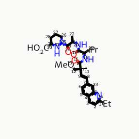 CCc1ccc2ccc(/C=C/[C@](C)(COC)C(=O)NC(C(=O)NC(C)C(=O)N3CCCC(C(=O)O)N3)C(C)C)cc2n1